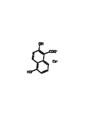 O=C([O-])c1c(O)ccc2c(O)cccc12.[Cs+]